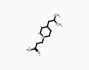 CC(C)CC1CCN(CCC(=O)O)CC1